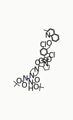 Cc1ccc2cccc(OCc3c(Cl)ccc(S(=O)(=O)N4CCCC4C(=O)N4CCN(/C(=N/C(=O)OC(C)(C)C)NC(=O)OC(C)(C)C)CC4)c3Cl)c2n1